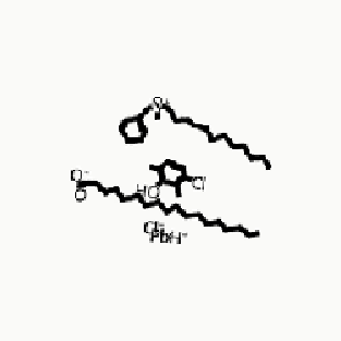 CCCCCCCCCCCCCCCCCC(=O)[O-].CCCCCCCCCCCC[N+](C)(C)Cc1ccccc1.Cc1ccc(Cl)c(C)c1O.[Cl-].[PbH+]